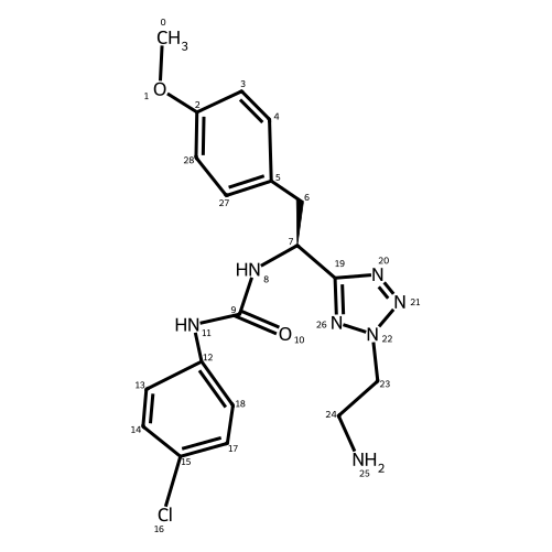 COc1ccc(C[C@H](NC(=O)Nc2ccc(Cl)cc2)c2nnn(CCN)n2)cc1